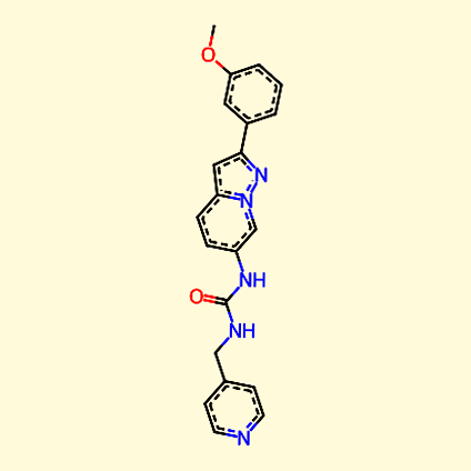 COc1cccc(-c2cc3ccc(NC(=O)NCc4ccncc4)cn3n2)c1